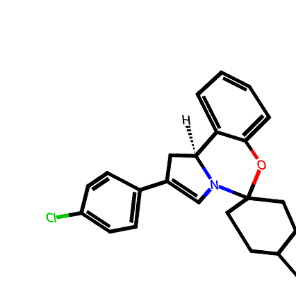 CC1CCC2(CC1)Oc1ccccc1[C@@H]1CC(c3ccc(Cl)cc3)=CN12